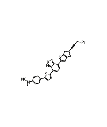 CC(C)CC#Cc1cc2sc(-c3ccc(-c4ccc(-c5ccc(N(C)C#N)cc5)s4)c4nsnc34)cc2s1